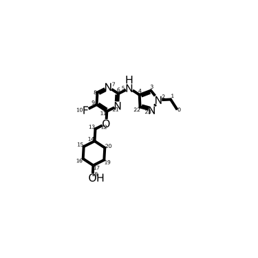 CCn1cc(Nc2ncc(F)c(OCC3CCC(O)CC3)n2)cn1